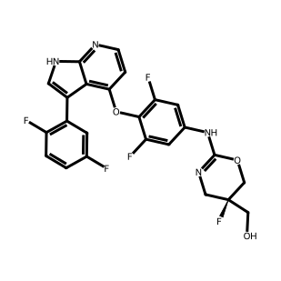 OC[C@]1(F)CN=C(Nc2cc(F)c(Oc3ccnc4[nH]cc(-c5cc(F)ccc5F)c34)c(F)c2)OC1